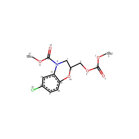 CC(C)(C)OC(=O)OCC1CN(C(=O)OC(C)(C)C)c2cc(Cl)ccc2O1